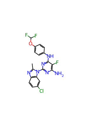 Cc1nc2ccc(Cl)cc2n1-c1nc(N)c(F)c(Nc2ccc(OC(F)F)cc2)n1